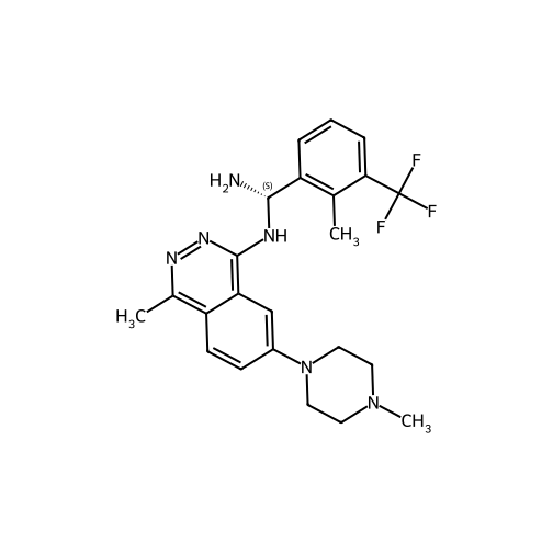 Cc1c([C@@H](N)Nc2nnc(C)c3ccc(N4CCN(C)CC4)cc23)cccc1C(F)(F)F